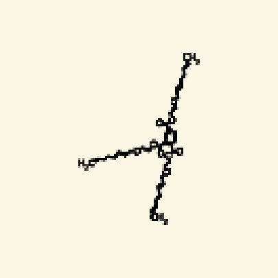 C=CCCCC=CCOCCOC(=O)c1ccc(C(=O)OCCOCC=CCCCC=C)c(C(=O)OCCOCC=CCCCC=C)c1